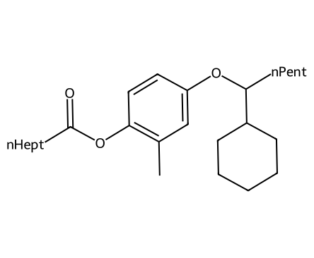 CCCCCCCC(=O)Oc1ccc(OC(CCCCC)C2CCCCC2)cc1C